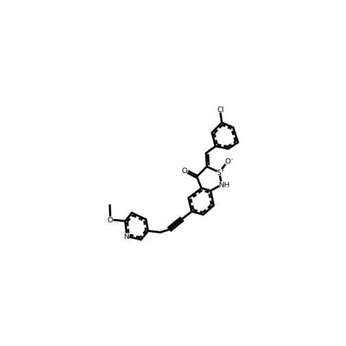 COc1ccc(CC#Cc2ccc3c(c2)C(=O)/C(=C/c2cccc(Cl)c2)[S+]([O-])N3)cn1